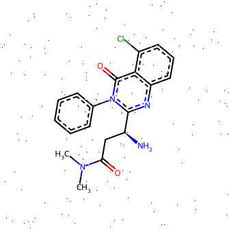 CN(C)C(=O)C[C@H](N)c1nc2cccc(Cl)c2c(=O)n1-c1ccccc1